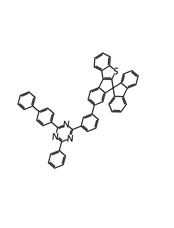 c1ccc(-c2ccc(-c3nc(-c4ccccc4)nc(-c4cccc(-c5ccc6c(c5)C5(c7ccccc7-c7ccccc75)c5sc7ccccc7c5-6)c4)n3)cc2)cc1